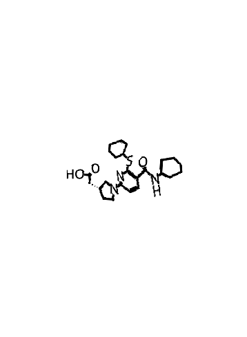 O=C(O)C[C@H]1CCN(c2ccc(C(=O)NC3CCCCC3)c(SC3CCCCC3)n2)C1